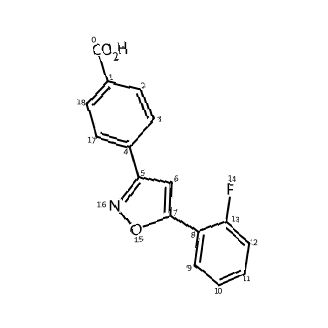 O=C(O)c1ccc(-c2cc(-c3ccccc3F)on2)cc1